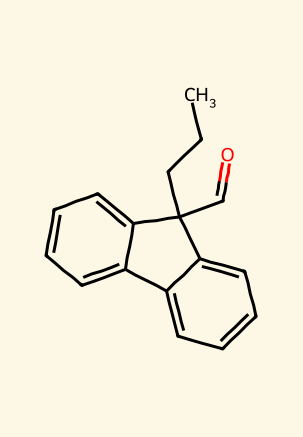 CCCC1(C=O)c2ccccc2-c2ccccc21